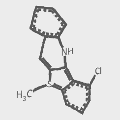 CS1=c2cccc(Cl)c2=C2Nc3ccccc3C=C21